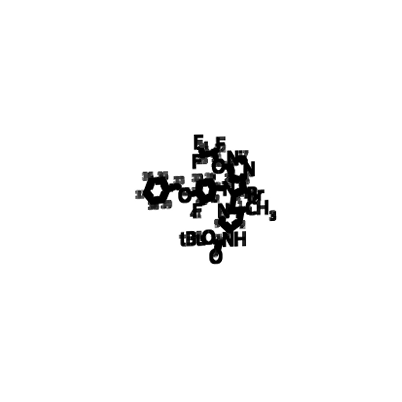 Cc1cc(NC(=O)OC(C)(C)C)cnc1-c1c(Br)c2ncnc(OC(F)C(F)F)c2n1-c1ccc(OCc2ccccc2)c(F)c1